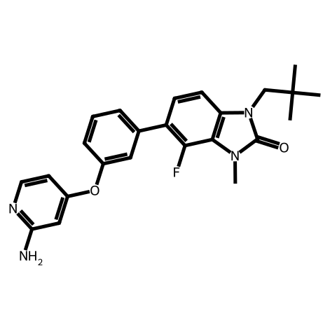 Cn1c(=O)n(CC(C)(C)C)c2ccc(-c3cccc(Oc4ccnc(N)c4)c3)c(F)c21